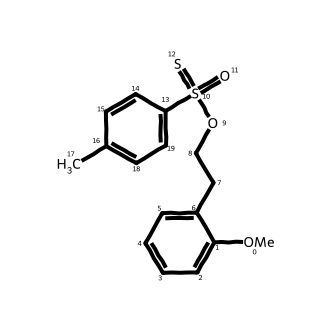 COc1ccccc1CCOS(=O)(=S)c1ccc(C)cc1